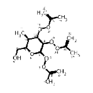 C=C(C)OOC1OC(CO)C(C)C(OOC(=C)C)C1OOC(=C)C